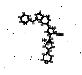 CCC(C)n1nc(-c2cnc3ccn(Cc4ccccn4)c3c2)cc1C1=C2CC(N3CCOCC3)C[C@H]21